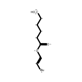 CCC(C)C=COC(=O)CCCCC(=O)O